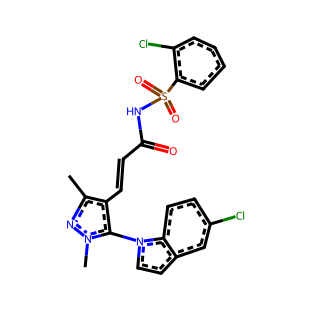 Cc1nn(C)c(-n2ccc3cc(Cl)ccc32)c1C=CC(=O)NS(=O)(=O)c1ccccc1Cl